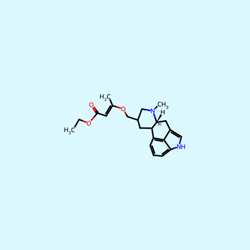 CCOC(=O)C=C(C)OCC1CC2c3cccc4[nH]cc(c34)C[C@H]2N(C)C1